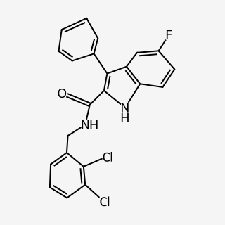 O=C(NCc1cccc(Cl)c1Cl)c1[nH]c2ccc(F)cc2c1-c1ccccc1